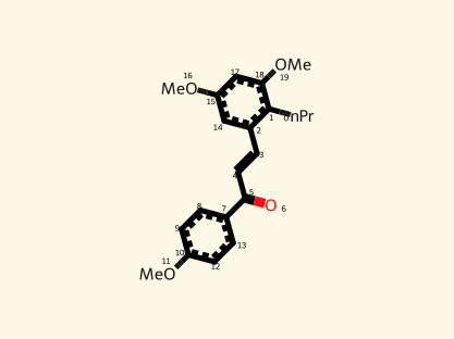 CCCc1c(C=CC(=O)c2ccc(OC)cc2)cc(OC)cc1OC